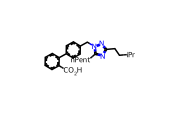 CCCCCc1nc(CCC(C)C)nn1Cc1ccc(-c2ccccc2C(=O)O)cc1